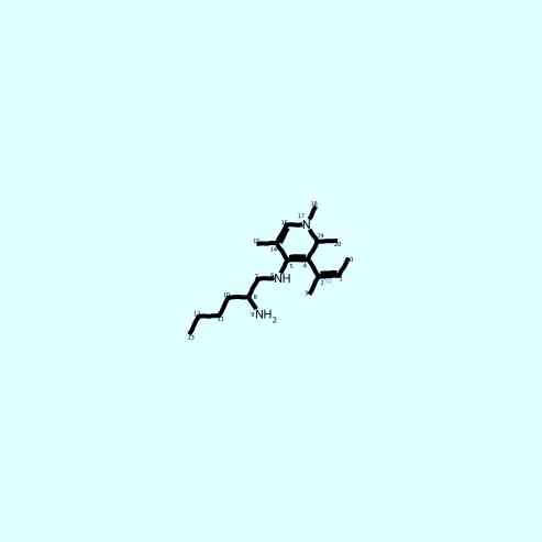 C/C=C(/C)C1=C(NCC(N)CCCC)C(C)=CN(C)C1C